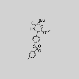 Cc1ccc(S(=O)(=O)Oc2ccc(C(NC(=O)OC(C)(C)C)C(=O)OC(C)C)cc2)cc1